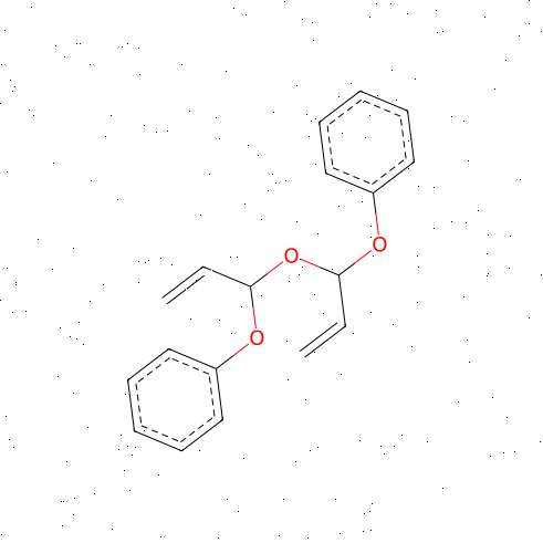 C=CC(Oc1ccccc1)OC(C=C)Oc1ccccc1